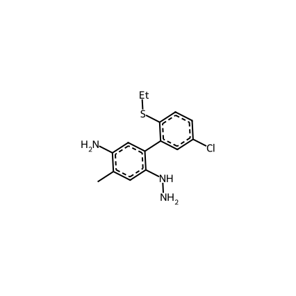 CCSc1ccc(Cl)cc1-c1cc(N)c(C)cc1NN